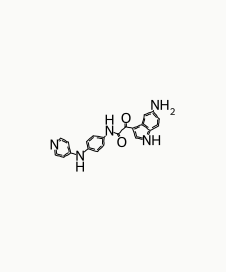 Nc1ccc2[nH]cc(C(=O)C(=O)Nc3ccc(Nc4ccncc4)cc3)c2c1